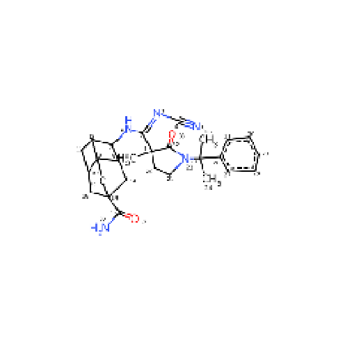 CC1(/C(=N\C#N)NC2C3CC4CC2CC(C(N)=O)(C4)C3)CCN(C(C)(C)c2ccccc2)C1=O